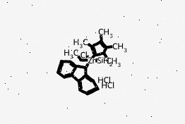 C[CH2][Zr](=[SiH2])([Cl])([C]1=C(C)C(C)=C(C)C1C)[CH]1c2ccccc2-c2ccccc21.Cl.Cl